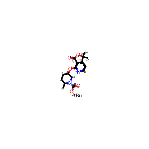 CC1CCC(Oc2nccc3c2C(=O)OC3(C)C)CN1C(=O)OC(C)(C)C